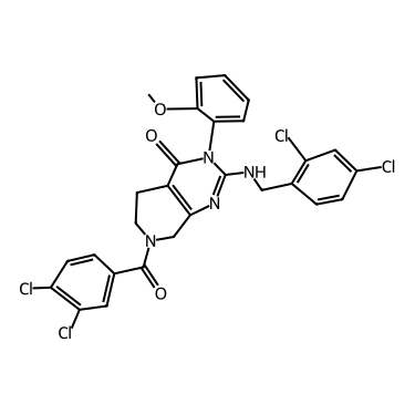 COc1ccccc1-n1c(NCc2ccc(Cl)cc2Cl)nc2c(c1=O)CCN(C(=O)c1ccc(Cl)c(Cl)c1)C2